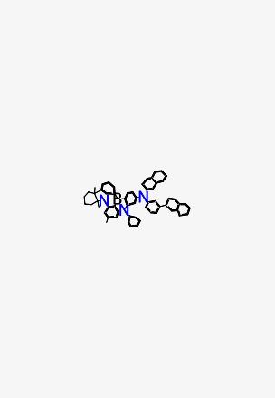 Cc1cc2c3c(c1)N1c4c(cccc4C4(C)CCCCC14C)B3c1ccc(N(c3cccc(-c4ccc5ccccc5c4)c3)c3ccc4ccccc4c3)cc1N2c1ccccc1